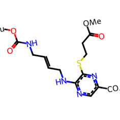 COC(=O)CCSc1nc(C(=O)O)cnc1NC/C=C/CNC(=O)OC(C)(C)C